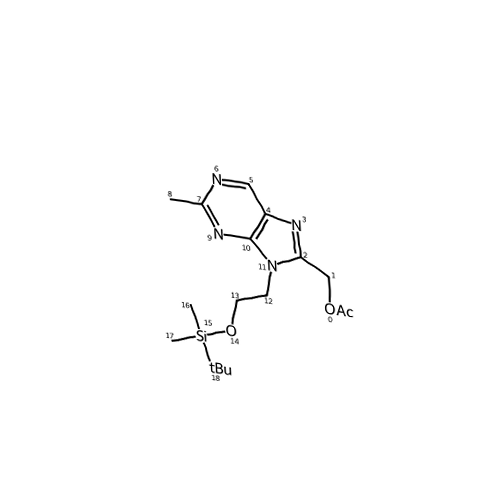 CC(=O)OCc1nc2cnc(C)nc2n1CCO[Si](C)(C)C(C)(C)C